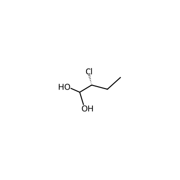 CC[C@@H](Cl)C(O)O